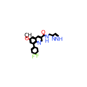 COc1cc(C2=CCC(F)(F)CC2)c2ncc(C(=O)NCc3cc[nH]n3)cc2c1